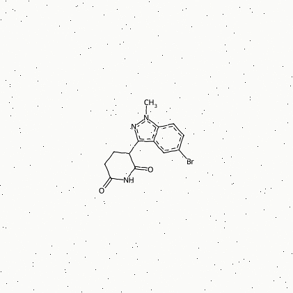 Cn1nc(C2CCC(=O)NC2=O)c2cc(Br)ccc21